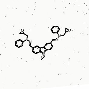 CCn1c2ccc(C=NN(CC3CO3)c3ccccc3)cc2c2cc(C=NN(CC3CO3)c3ccccc3)ccc21